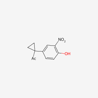 CC(=O)C1(c2ccc(O)c([N+](=O)[O-])c2)CC1